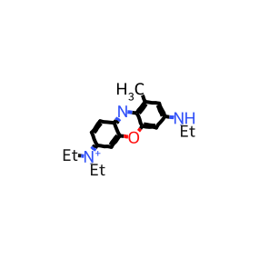 CCNc1cc(C)c2nc3ccc(=[N+](CC)CC)cc-3oc2c1